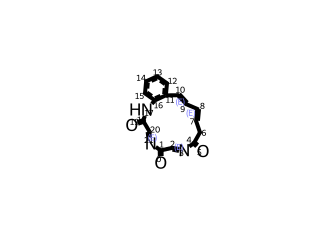 O=C1/C=N/C(=O)C/C=C/C=C/c2ccccc2NC(=O)/C=N/1